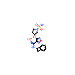 NS(=O)(=O)N1CC[C@@H](Oc2nonc2/C(=N\O)N[C@H]2Cc3ccc(F)cc32)C1